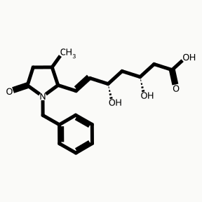 CC1CC(=O)N(Cc2ccccc2)C1/C=C/[C@@H](O)C[C@@H](O)CC(=O)O